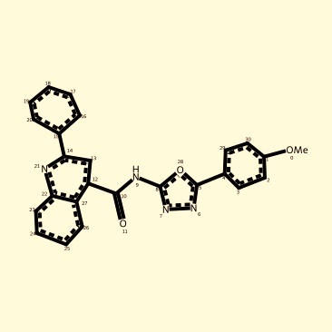 COc1ccc(-c2nnc(NC(=O)c3cc(-c4ccccc4)nc4ccccc34)o2)cc1